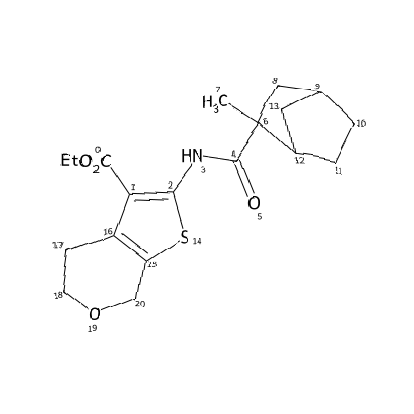 CCOC(=O)c1c(NC(=O)C2(C)CC3CCC2C3)sc2c1CCOC2